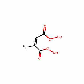 C/C(=C/C(=O)OO)C(=O)OO